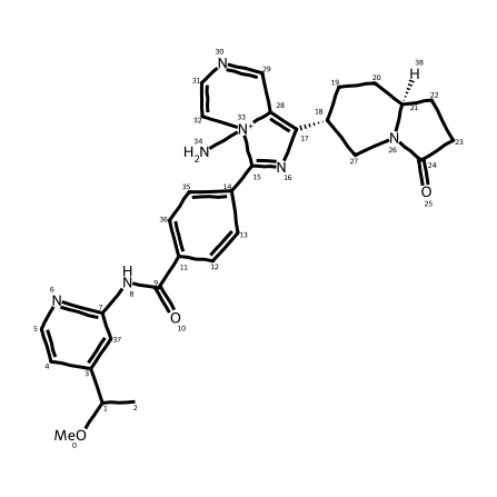 COC(C)c1ccnc(NC(=O)c2ccc(C3=NC([C@@H]4CC[C@H]5CCC(=O)N5C4)=C4C=NC=C[N+]34N)cc2)c1